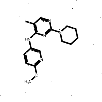 COc1ccc(Nc2nc(N3CCCCC3)ncc2I)cn1